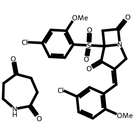 COc1ccc(Cl)cc1C=C1CN2C(=O)CC2(S(=O)(=O)c2ccc(Cl)cc2OC)C1=O.O=C1CCNC(=O)CC1